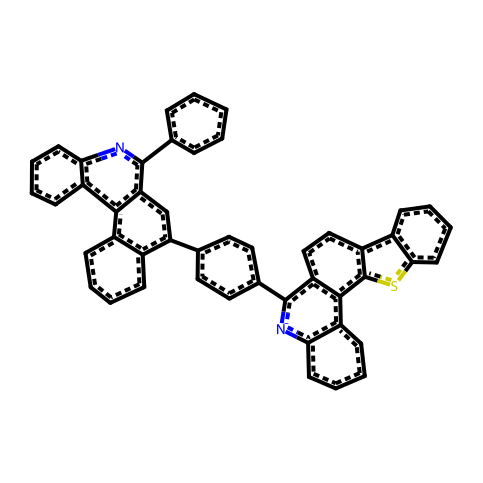 c1ccc(-c2nc3ccccc3c3c2cc(-c2ccc(-c4nc5ccccc5c5c4ccc4c6ccccc6sc45)cc2)c2ccccc23)cc1